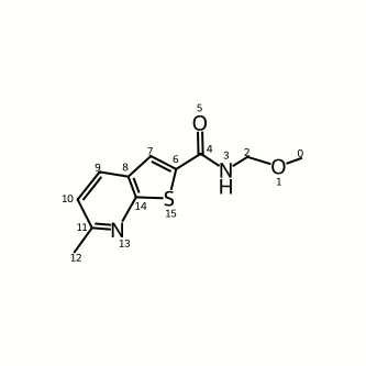 COCNC(=O)c1cc2ccc(C)nc2s1